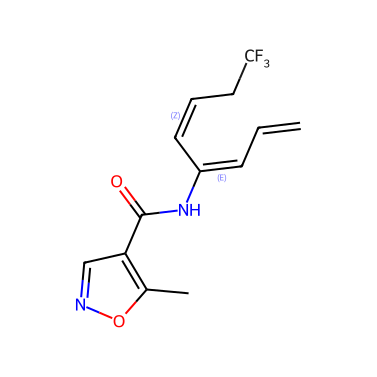 C=C/C=C(\C=C/CC(F)(F)F)NC(=O)c1cnoc1C